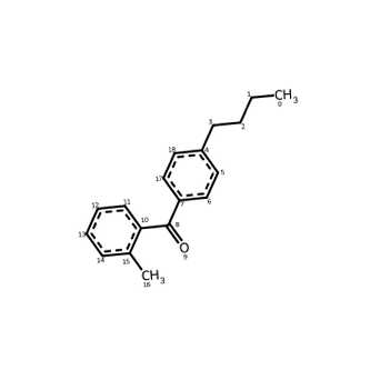 CCCCc1ccc(C(=O)c2ccccc2C)cc1